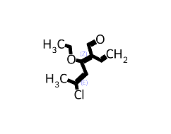 C=C/C(C=O)=C(\C=C(/C)Cl)OCC